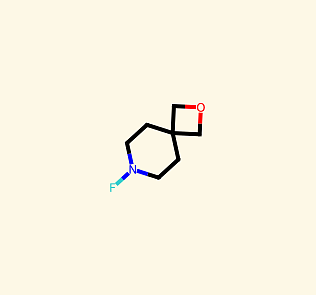 FN1CCC2(CC1)COC2